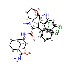 CN1[C@@H](C(=O)NC2CCC3(C(N)=O)CCCC2C3)[C@H](c2cccc(Cl)c2F)[C@]2(C(=O)Nc3cc(Cl)ccc32)C12CCCCC2